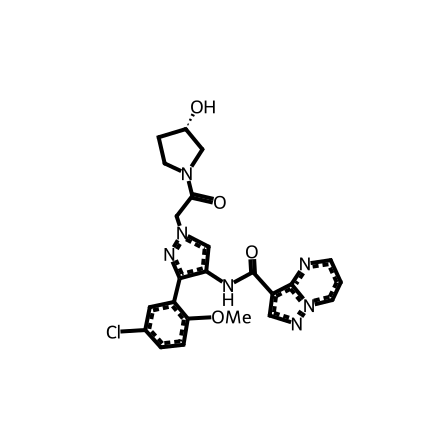 COc1ccc(Cl)cc1-c1nn(CC(=O)N2CC[C@H](O)C2)cc1NC(=O)c1cnn2cccnc12